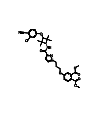 COC(=O)c1ccc(OCCCn2ccc(C(=O)N[C@H]3C(C)(C)[C@H](Oc4ccc(C#N)c(Cl)c4)C3(C)C)n2)cc1C(=O)OC